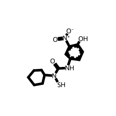 O=C(Nc1ccc(O)c([N+](=O)[O-])c1)N(S)C1CCCCC1